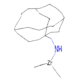 [CH3][Zr]([CH3])[NH]C12CC3CC(CC(C3)C1)C2